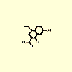 CCn1cc(C(=O)O)c(=O)c2cc(O)ccc21